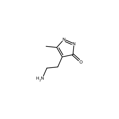 CC1=C(CCN)C(=O)N=N1